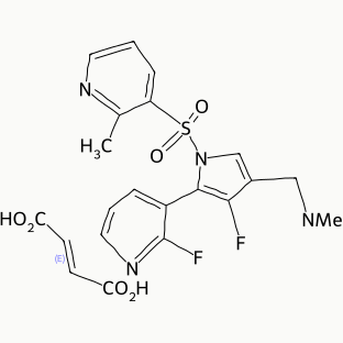 CNCc1cn(S(=O)(=O)c2cccnc2C)c(-c2cccnc2F)c1F.O=C(O)/C=C/C(=O)O